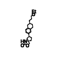 CCOCCC[C@H]1CCc2cc([C@H]3CC[C@]4(COC(=O)N4)C3)ccc2C1